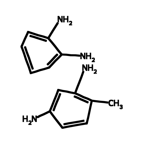 Cc1ccc(N)cc1N.Nc1ccccc1N